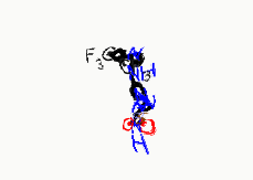 O=C1NC(=O)/C(=C/c2ccnc(N3CCC(CNCc4cccnc4-c4ccc(C(F)(F)F)cc4C(F)(F)F)CC3)n2)S1